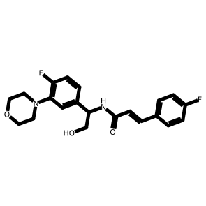 O=C(C=Cc1ccc(F)cc1)NC(CO)c1ccc(F)c(N2CCOCC2)c1